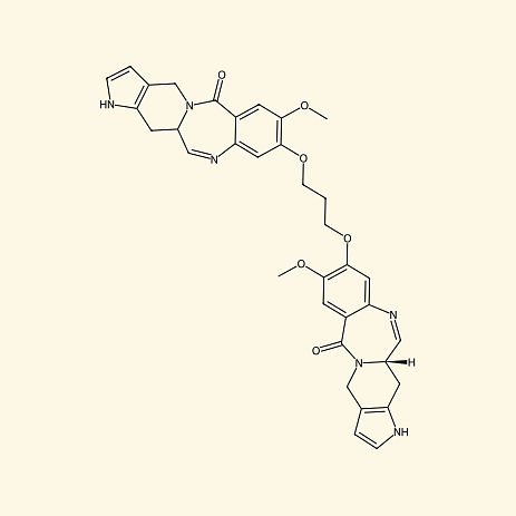 COc1cc2c(cc1OCCCOc1cc3c(cc1OC)C(=O)N1Cc4cc[nH]c4C[C@H]1C=N3)N=CC1Cc3[nH]ccc3CN1C2=O